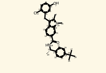 Cc1c(Cc2cc(O)ccc2Cl)c2ccc(C(=O)N[C@@H](C)c3ccc(C(C)(C)C)cc3)cc2n1C